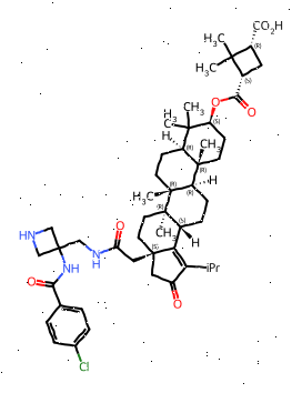 CC(C)C1=C2[C@H]3CC[C@@H]4[C@@]5(C)CC[C@H](OC(=O)[C@H]6C[C@@H](C(=O)O)C6(C)C)C(C)(C)[C@@H]5CC[C@@]4(C)[C@]3(C)CC[C@@]2(CC(=O)NCC2(NC(=O)c3ccc(Cl)cc3)CNC2)CC1=O